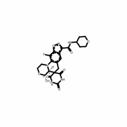 C[C@@H]1OCCN2c3c(cc4c(C(=O)NC5CCOCC5)noc4c3F)CC3(C(=O)NC(=O)NC3=O)[C@@H]12